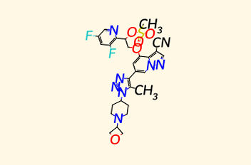 Cc1c(-c2cc(OCC(OS(C)(=O)=O)c3ncc(F)cc3F)c3c(C#N)cnn3c2)nnn1C1CCN(C2COC2)CC1